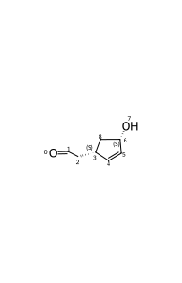 O=CC[C@H]1C=C[C@@H](O)C1